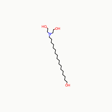 OCCCCCCCCCCCCCCCCCCN(CCO)CCO